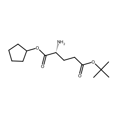 CC(C)(C)OC(=O)CC[C@@H](N)C(=O)OC1CCCC1